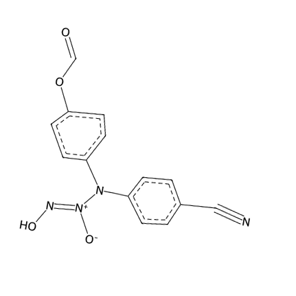 N#Cc1ccc(N(c2ccc(OC=O)cc2)/[N+]([O-])=N/O)cc1